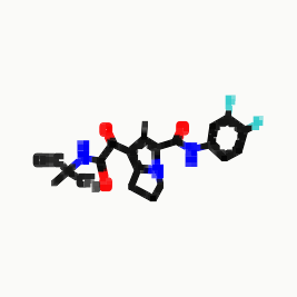 Cc1c(C(=O)C(=O)NC(C)(C=O)C(F)(F)F)c2n(c1C(=O)Nc1ccc(F)c(F)c1)CCC2